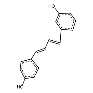 Oc1ccc(C=CC=Cc2cccc(O)c2)cc1